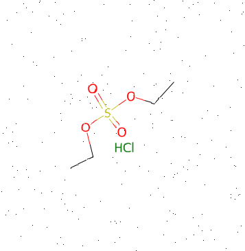 CCOS(=O)(=O)OCC.Cl